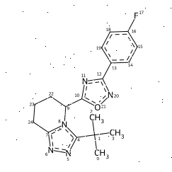 CC(C)(C)c1nnc2n1C(c1nc(-c3ccc(F)cc3)no1)CCC2